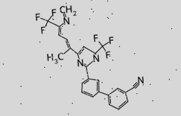 C=N/C(=C\C=C(/C)c1cc(C(F)(F)F)nc(-c2cccc(-c3cccc(C#N)c3)c2)n1)C(F)(F)F